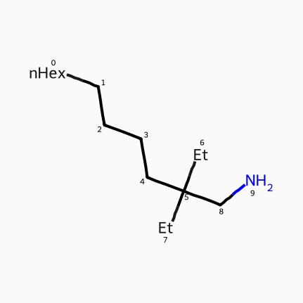 CCCCCCCCCCC(CC)(CC)CN